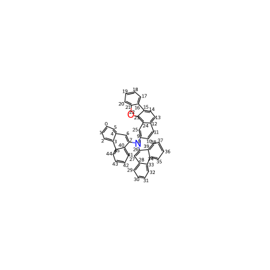 c1ccc2c(c1)cc(N(c1ccc3ccc4c5ccccc5oc4c3c1)c1cc3ccccc3c3ccccc13)c1ccccc12